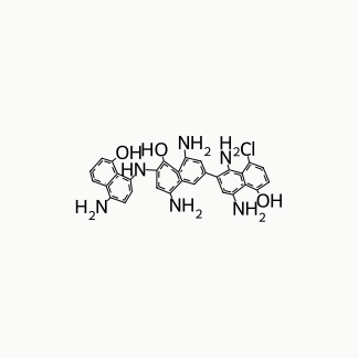 Nc1ccc(Nc2cc(N)c3cc(-c4cc(N)c5c(O)ccc(Cl)c5c4N)cc(N)c3c2O)c2c(O)cccc12